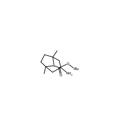 CC(C)(C)OC(=O)N1C2(C)CCC1(C)CC(N)C2